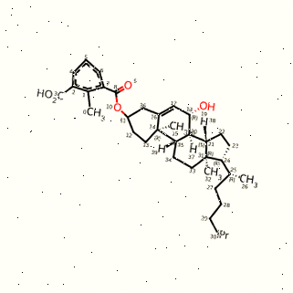 Cc1c(C(=O)O)cccc1C(=O)OC1CC[C@@]2(C)C(=C[C@H](O)[C@H]3[C@@H]4CC[C@H]([C@H](C)CCCC(C)C)[C@@]4(C)CC[C@@H]32)C1